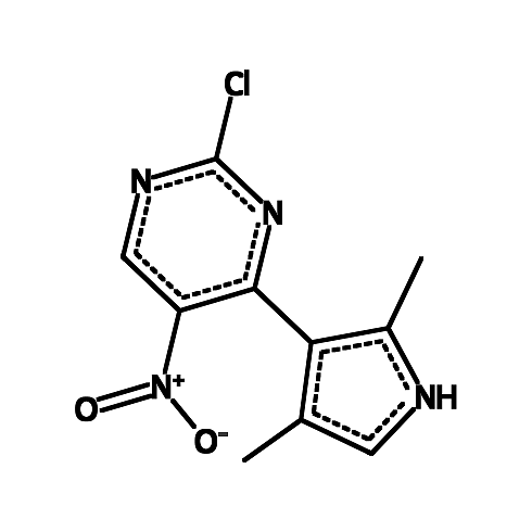 Cc1c[nH]c(C)c1-c1nc(Cl)ncc1[N+](=O)[O-]